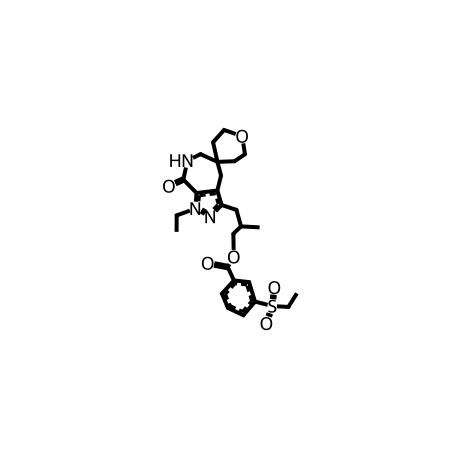 CCn1nc(CC(C)COC(=O)c2cccc(S(=O)(=O)CC)c2)c2c1C(=O)NCC1(CCOCC1)C2